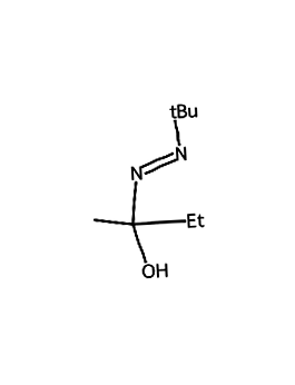 CCC(C)(O)/N=N/C(C)(C)C